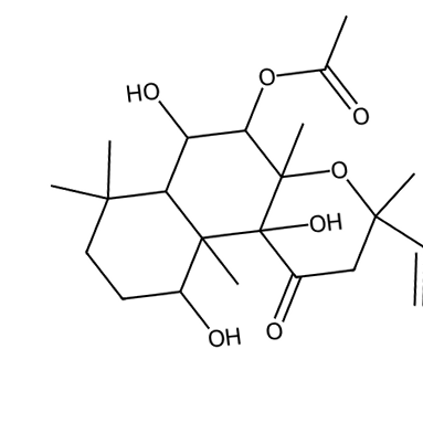 C=CC1(C)CC(=O)C2(O)C(C)(O1)C(OC(C)=O)C(O)C1C(C)(C)CCC(O)C12C